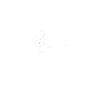 CCCCCCCCCCCCc1ccc(Oc2cc3c(=O)n4c5ccc6ccccc6c5nc4c4cc(Oc5ccc(CCCCCCCCCCCC)cc5)c5c6c(Oc7ccc(CCCCCCCCCCCC)cc7)cc7c(=O)n8c9ccc%10ccccc%10c9nc8c8cc(Oc9ccc(CCCCCCCCCCCC)cc9)c(c2c5c34)c6c78)cc1